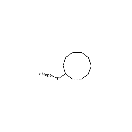 CCCCCCC[P]C1CCCCCCCCC1